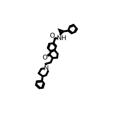 O=C(NC1CC1c1ccccc1)c1ccc2c(c1)CCC(CCN1CCC(c3ccccc3)CC1)C2=O